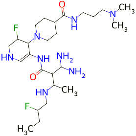 CCC(F)CNC(C)C(C(=O)NC1=CNCC(F)C1N1CCC(C(=O)NCCCN(C)C)CC1)C(N)N